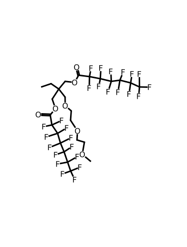 CCC(COCCOCCOC)(COC(=O)C(F)(F)C(F)(F)C(F)(F)C(F)(F)C(F)(F)C(F)(F)F)COC(=O)C(F)(F)C(F)(F)C(F)(F)C(F)(F)C(F)(F)C(F)(F)F